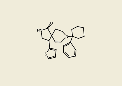 O=C1NCC(c2cccs2)C12CCN(C1(c3ccccc3)CCCCC1)CC2